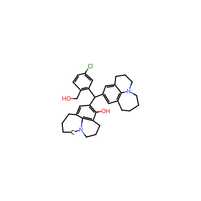 OCc1ccc(Cl)cc1C(c1cc2c3c(c1)CCCN3CCCC2)c1cc2c3c(c1O)CCCN3CCCC2